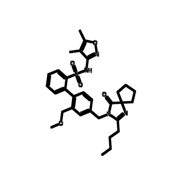 CCCCC1=NC2(CCCC2)C(=O)N1Cc1ccc(-c2ccccc2S(=O)(=O)Nc2noc(C)c2C)c(COC)c1